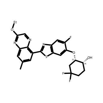 CCOc1cnc2c(-c3nc4cc(F)c(O[C@H]5CC(F)(F)CC[C@H]5O)cc4s3)cc(C)cc2n1